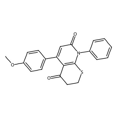 COc1ccc(-c2cc(=O)n(-c3ccccc3)c3c2C(=O)CCS3)cc1